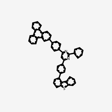 c1ccc(-c2nc(-c3ccc(-c4ccc5c6ccccc6c6ccccc6c5c4)cc3)cc(-c3ccc(-c4cccc5sc6ccccc6c45)cc3)n2)cc1